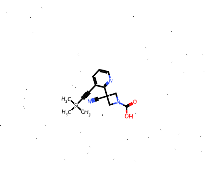 C[Si](C)(C)C#Cc1cccnc1C1(C#N)CN(C(=O)O)C1